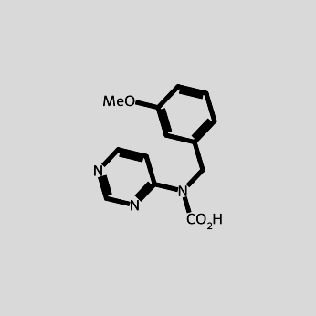 COc1cccc(CN(C(=O)O)c2ccncn2)c1